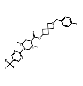 C[C@@H]1CN(c2ncc(C(F)(F)F)cn2)[C@@H](C)CN1C(=O)OC1CC2(C1)CN(Cc1ccc(F)cc1)C2